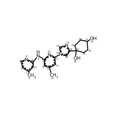 Cc1ccnc(Nc2cc(C)cc(-n3cnc(C4(O)CCC(O)CC4)c3)n2)c1